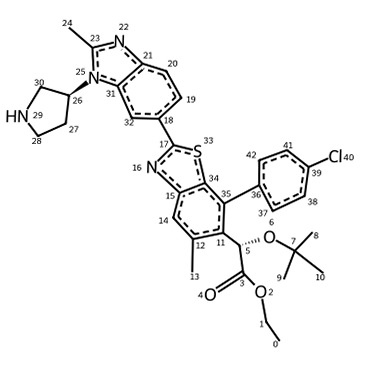 CCOC(=O)[C@@H](OC(C)(C)C)c1c(C)cc2nc(-c3ccc4nc(C)n([C@H]5CCNC5)c4c3)sc2c1-c1ccc(Cl)cc1